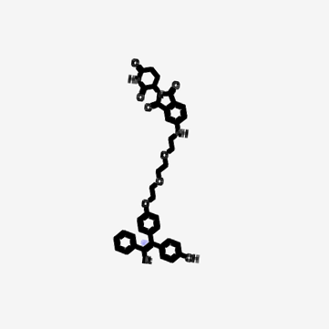 CC/C(=C(\c1ccc(O)cc1)c1ccc(OCCOCCOCCNc2ccc3c(c2)C(=O)N(C2CCC(=O)NC2=O)C3=O)cc1)c1ccccc1